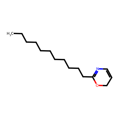 CCCCCCCCCCCC1=NC=CCO1